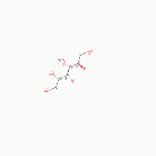 OC[C@@H](O)[C@@H](O)[C@H](O)[C@@H](O)CO.[Fe+3]